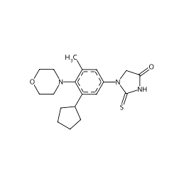 Cc1cc(N2CC(=O)NC2=S)cc(C2CCCC2)c1N1CCOCC1